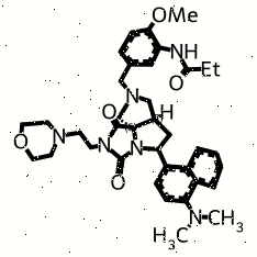 CCC(=O)Nc1cc(CN2C[C@H]3CC(c4ccc(N(C)C)c5ccccc45)N4C(=O)N(CCN5CCOCC5)C(=O)[C@@]34C2)ccc1OC